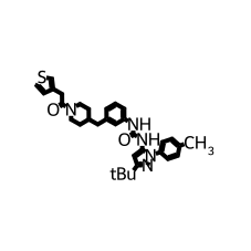 Cc1ccc(-n2nc(C(C)(C)C)cc2NC(=O)Nc2cccc(CC3CCN(C(=O)Cc4ccsc4)CC3)c2)cc1